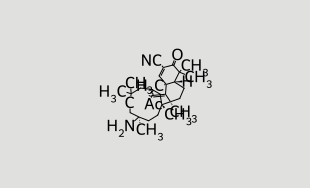 CC(=O)/C=C1/[C@@]2(C)C=C(C#N)C(=O)C(C)(C)[C@@H]2CC[C@@]1(C)[C@@]1(C)CCCC(C)(C)CC[C@](C)(N)CC1